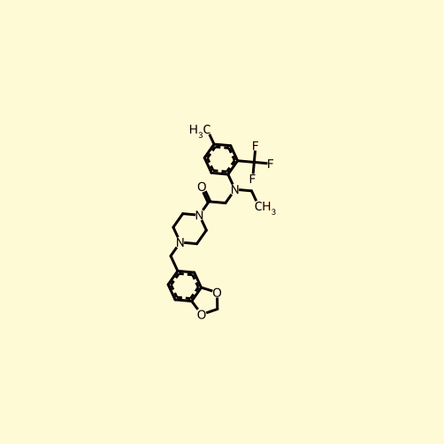 CCN(CC(=O)N1CCN(Cc2ccc3c(c2)OCO3)CC1)c1ccc(C)cc1C(F)(F)F